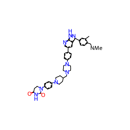 CNCc1ccc(-c2n[nH]c3ncc(-c4ccc(N5CCN(CC6CCN(c7ccc(N8CCC(=O)NC8=O)cc7)CC6)CC5)cc4)cc23)cc1C